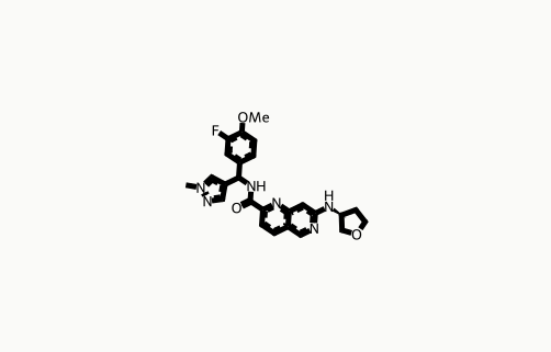 COc1ccc(C(NC(=O)c2ccc3cnc(N[C@H]4CCOC4)cc3n2)c2cnn(C)c2)cc1F